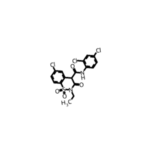 CCN1C(=O)C(C(=O)Nc2ccc(Cl)cc2Cl)c2cc(Cl)ccc2S1(=O)=O